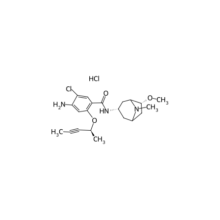 CC#C[C@H](C)Oc1cc(N)c(Cl)cc1C(=O)N[C@H]1CC2C[C@@H](OC)C(C1)N2C.Cl